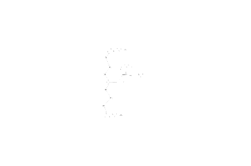 CNCCCC(CCCNC)O[SiH](OC)OC